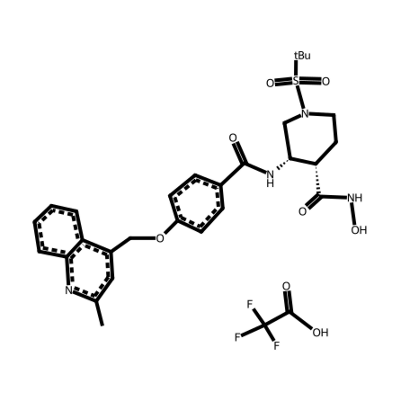 Cc1cc(COc2ccc(C(=O)N[C@@H]3CN(S(=O)(=O)C(C)(C)C)CC[C@@H]3C(=O)NO)cc2)c2ccccc2n1.O=C(O)C(F)(F)F